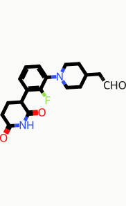 O=CCC1CCN(c2cccc(C3CCC(=O)NC3=O)c2F)CC1